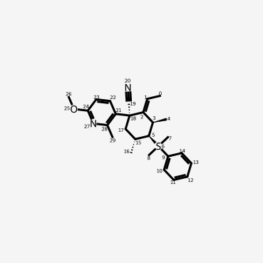 C/C=C1\[C@@H](C)[C@@H](S(C)(C)c2ccccc2)[C@H](C)C[C@@]1(C#N)c1ccc(OC)nc1C